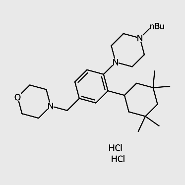 CCCCN1CCN(c2ccc(CN3CCOCC3)cc2C2CC(C)(C)CC(C)(C)C2)CC1.Cl.Cl